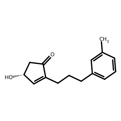 Cc1cccc(CCCC2=C[C@H](O)CC2=O)c1